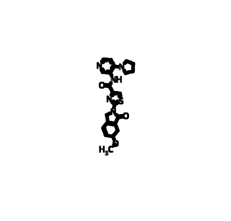 COC1C=CC2=C(C1)C(=O)N(c1nc(C(=O)Nc3cnccc3N3CCCC3)cs1)C2